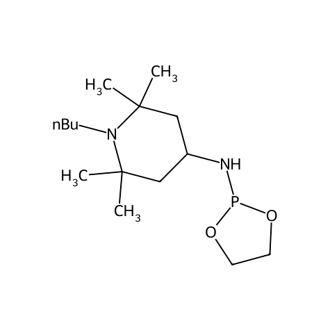 CCCCN1C(C)(C)CC(NP2OCCO2)CC1(C)C